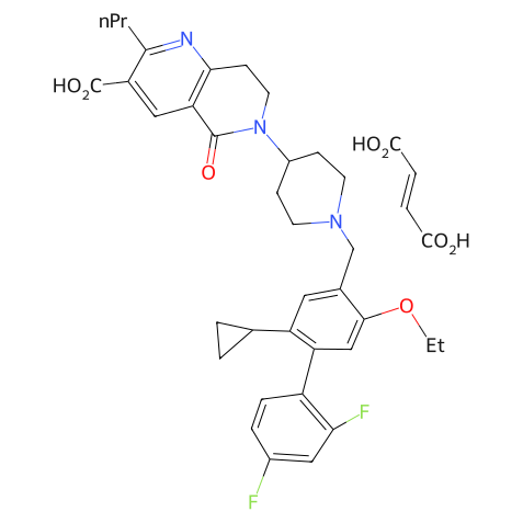 CCCc1nc2c(cc1C(=O)O)C(=O)N(C1CCN(Cc3cc(C4CC4)c(-c4ccc(F)cc4F)cc3OCC)CC1)CC2.O=C(O)/C=C/C(=O)O